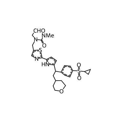 CNC(=O)N(CC=O)Cc1cnc(-c2ccc(C(CC3CCOCC3)c3ccc(S(=O)(=O)C4CC4)cc3)[nH]2)s1